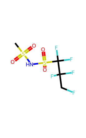 CS(=O)(=O)NS(=O)(=O)C(F)(F)C(F)(F)CF